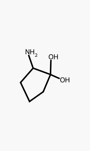 NC1CCCC1(O)O